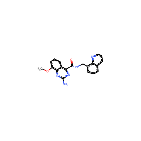 Nc1nc(C(=O)NCc2cccc3cccnc23)c2cccc(OC(F)(F)F)c2n1